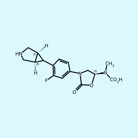 CN(C(=O)O)[C@@H]1CN(c2ccc(C3[C@H]4CNC[C@@H]34)c(F)c2)C(=O)O1